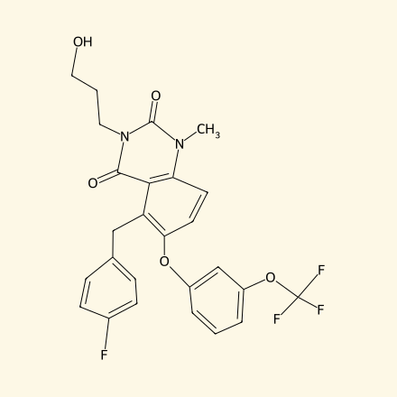 Cn1c(=O)n(CCCO)c(=O)c2c(Cc3ccc(F)cc3)c(Oc3cccc(OC(F)(F)F)c3)ccc21